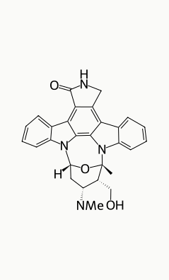 CN[C@@H]1C[C@H]2O[C@@](C)([C@@H]1CO)n1c3ccccc3c3c4c(c5c6ccccc6n2c5c31)C(=O)NC4